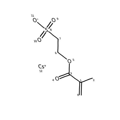 C=C(C)C(=O)OCCS(=O)(=O)[O-].[Cs+]